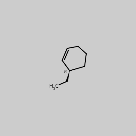 CC[C@H]1C=CCCC1